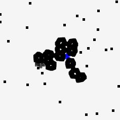 CC1(c2ccccc2)c2ccccc2-c2c(-c3ccc(N(c4ccc(-c5ccc6ccccc6c5)cc4)c4ccccc4-c4cccc5cccc(-c6ccccc6)c45)cc3)cccc21